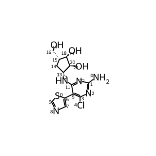 Nc1nc(Cl)c(-c2cncs2)c(N[C@@H]2C[C@H](CO)[C@@H](O)[C@H]2O)n1